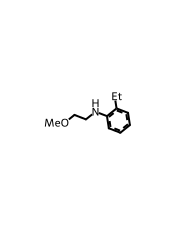 CCc1ccccc1NCCOC